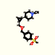 CS(=O)(=O)c1ccc(COC[C@@H]2C[C@@H]2C2CCN(C#N)CC2)cc1